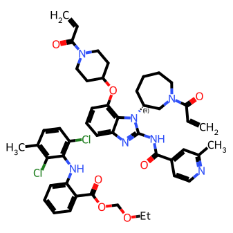 C=CC(=O)N1CCC(Oc2cccc3nc(NC(=O)c4ccnc(C)c4)n([C@@H]4CCCCN(C(=O)C=C)C4)c23)CC1.CCOCOC(=O)c1ccccc1Nc1c(Cl)ccc(C)c1Cl